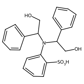 O=S(=O)(O)c1ccccc1N(C(CO)c1ccccc1)C(CO)c1ccccc1